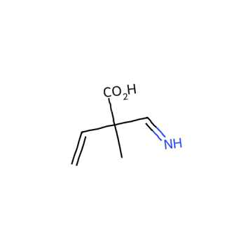 C=CC(C)(C=N)C(=O)O